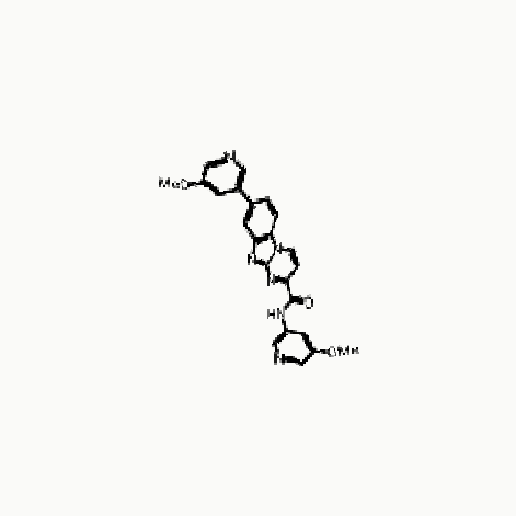 COc1cncc(NC(=O)c2ccn3c(n2)nc2cc(-c4cncc(OC)c4)ccc23)c1